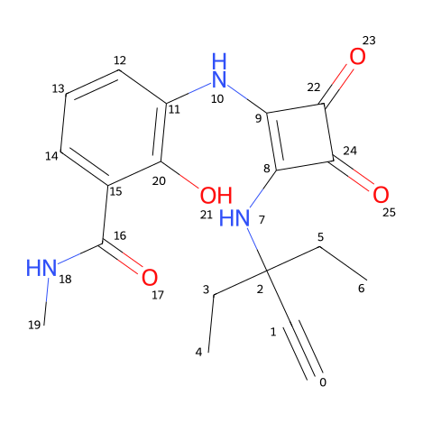 C#CC(CC)(CC)Nc1c(Nc2cccc(C(=O)NC)c2O)c(=O)c1=O